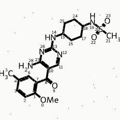 COc1ccc(C)cc1C(=O)c1cnc(NC2CCC(NS(C)(=O)=O)CC2)nc1N